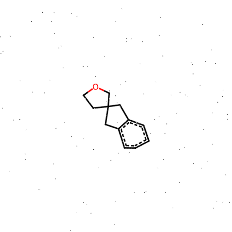 c1ccc2c(c1)CC1(CCOC1)C2